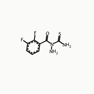 NC(=S)N(N)C(=O)c1cccc(F)c1F